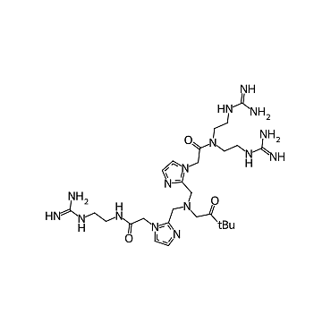 CC(C)(C)C(=O)CN(Cc1nccn1CC(=O)NCCNC(=N)N)Cc1nccn1CC(=O)N(CCNC(=N)N)CCNC(=N)N